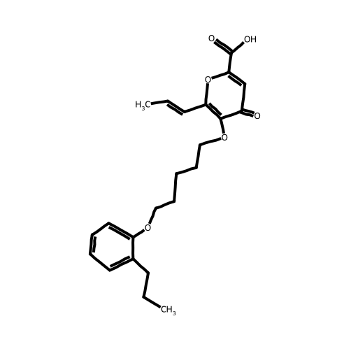 C/C=C/c1oc(C(=O)O)cc(=O)c1OCCCCCOc1ccccc1CCC